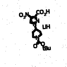 CC(C)(C)OC(=O)N1CCC(n2cc([N+](=O)[O-])c(C(=O)O)n2)CC1.[LiH]